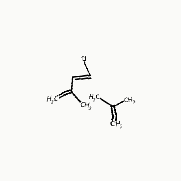 C=C(C)C.C=C(C)C=CCl